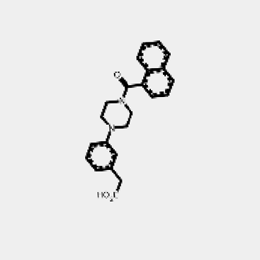 O=C(O)Cc1cccc(N2CCN(C(=O)c3cccc4ccccc34)CC2)c1